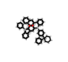 c1ccc(-n2c3ccccc3c3cc(N(c4ccc(C5(c6ccccc6)CCCCC5)cc4)c4ccccc4-c4ccc5ccccc5c4)ccc32)cc1